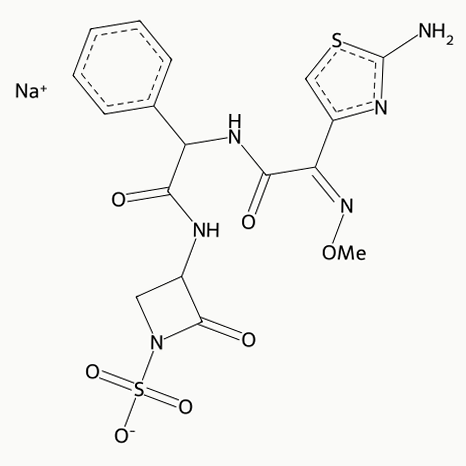 CO/N=C(\C(=O)NC(C(=O)NC1CN(S(=O)(=O)[O-])C1=O)c1ccccc1)c1csc(N)n1.[Na+]